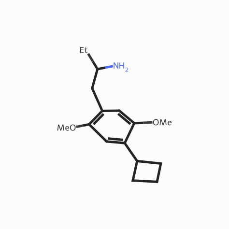 CCC(N)Cc1cc(OC)c(C2CCC2)cc1OC